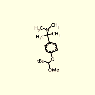 COC(Oc1ccc(C(C)(C)N(C)C)cc1)C(C)(C)C